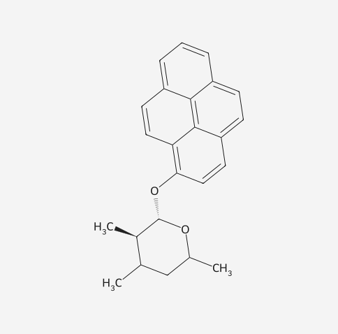 CC1CC(C)[C@@H](C)[C@H](Oc2ccc3ccc4cccc5ccc2c3c45)O1